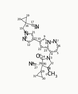 C[C@@H]1CN(c2ccnn3cc(-c4cnn(CC5(C#N)CC5)c4)cc23)C(=O)[C@]1(C#N)C1CC1